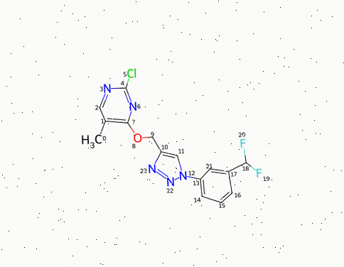 Cc1cnc(Cl)nc1OCc1cn(-c2cccc(C(F)F)c2)nn1